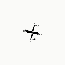 COS(=N)(=O)OC